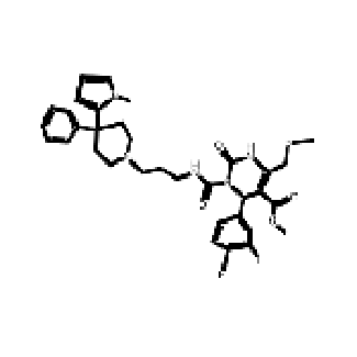 COCC1=C(C(=O)OC)C(c2ccc(F)c(F)c2)N(C(=O)NCCCN2CCC(c3ccccc3)(c3cccn3C)CC2)C(=O)N1